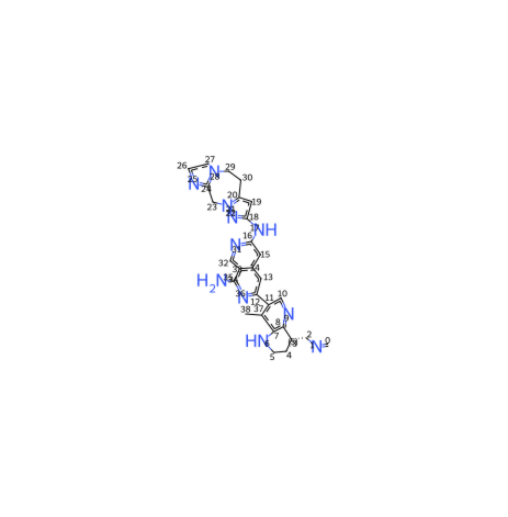 C=NC[C@@H]1CCNc2c1ncc(-c1cc3cc(Nc4cc5n(n4)Cc4nccn4CC5)ncc3c(N)n1)c2C